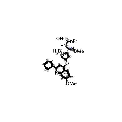 BN1C[C@H](Oc2cc(-c3ccccc3)nc3cc(OC)ccc23)C[C@H]1/C(=N\OC)N[C@H](C=O)CCC